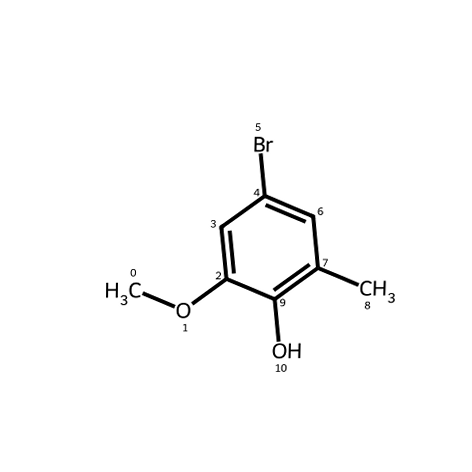 COc1cc(Br)cc(C)c1O